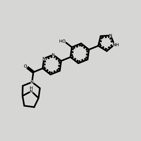 O=C(c1ccc(-c2ccc(-c3cn[nH]c3)cc2O)nn1)N1CC2CCC(C1)N2